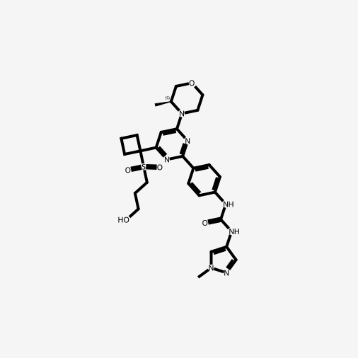 C[C@H]1COCCN1c1cc(C2(S(=O)(=O)CCCO)CCC2)nc(-c2ccc(NC(=O)Nc3cnn(C)c3)cc2)n1